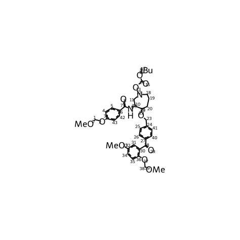 COCOc1ccc(C(=O)N[C@@H]2CN(OC(=O)OC(C)(C)C)CCC[C@H]2OCc2ccc(C(=O)c3cc(OC)ccc3OCOC)cc2)cc1